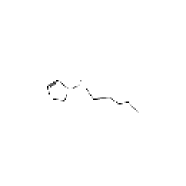 CCCCCNN1C=CSC1